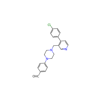 O=Cc1ccc(N2CCN(Cc3cnccc3-c3ccc(Cl)cc3)CC2)cc1